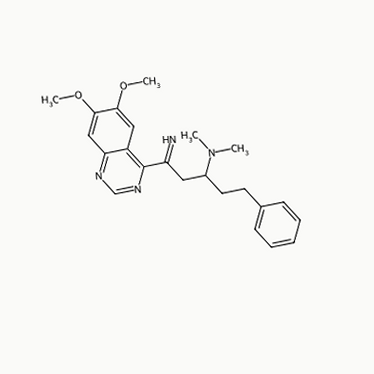 COc1cc2ncnc(C(=N)CC(CCc3ccccc3)N(C)C)c2cc1OC